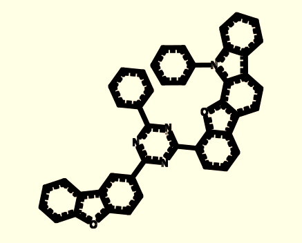 c1ccc(-c2nc(-c3ccc4oc5ccccc5c4c3)nc(-c3cccc4c3oc3c4ccc4c5ccccc5n(-c5ccccc5)c43)n2)cc1